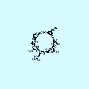 CCSCc1cc2cc(c1)CSC[C@@H](C(N)=O)NC(=O)[C@@H](CC(=O)O)NC(=O)C(C)(C)NC(=O)[C@H](CCCNC(=N)N)NC(=O)[C@H](CC(N)=O)NC(=O)[C@H](C(C)(C)C)NC(=O)[C@@H]1CCCN1C(=O)[C@H](C)CSC2